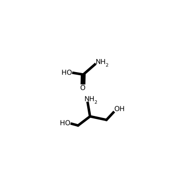 NC(=O)O.NC(CO)CO